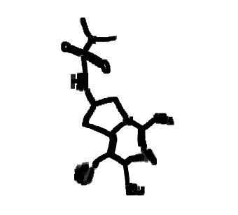 CN(C)S(=O)(=O)NC1CC2=C(C(C)(C)C)C(C(C)(C)C)N=C(C(C)(C)C)N2C1